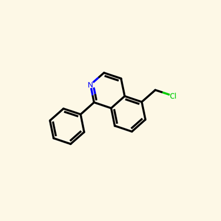 ClCc1cccc2c(-c3ccccc3)nccc12